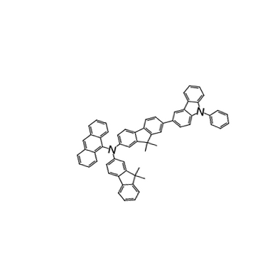 CC1(C)c2ccccc2-c2ccc(N(c3ccc4c(c3)C(C)(C)c3cc(-c5ccc6c(c5)c5ccccc5n6-c5ccccc5)ccc3-4)c3c4ccccc4cc4ccccc34)cc21